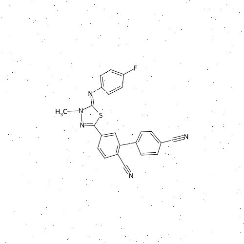 Cn1nc(-c2ccc(C#N)c(-c3ccc(C#N)cc3)c2)sc1=Nc1ccc(F)cc1